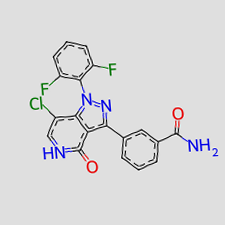 NC(=O)c1cccc(-c2nn(-c3c(F)cccc3F)c3c(Cl)c[nH]c(=O)c23)c1